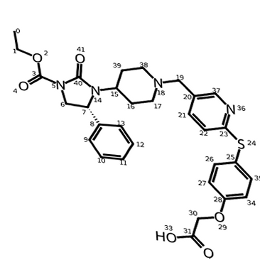 CCOC(=O)N1C[C@@H](c2ccccc2)N(C2CCN(Cc3ccc(Sc4ccc(OCC(=O)O)cc4)nc3)CC2)C1=O